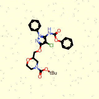 CC(C)(C)OC(=O)N1CCOC(COc2nn(-c3ccccc3)c(NC(=O)Oc3ccccc3)c2Cl)C1